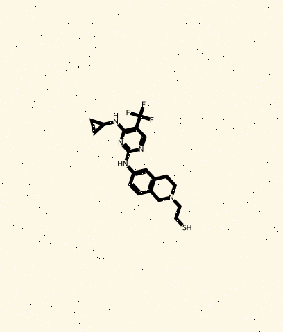 FC(F)(F)c1cnc(Nc2ccc3c(c2)CCN(CCS)C3)nc1NC1CC1